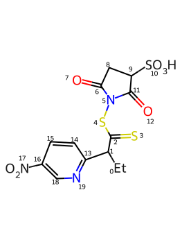 CCC(C(=S)SN1C(=O)CC(S(=O)(=O)O)C1=O)c1ccc([N+](=O)[O-])cn1